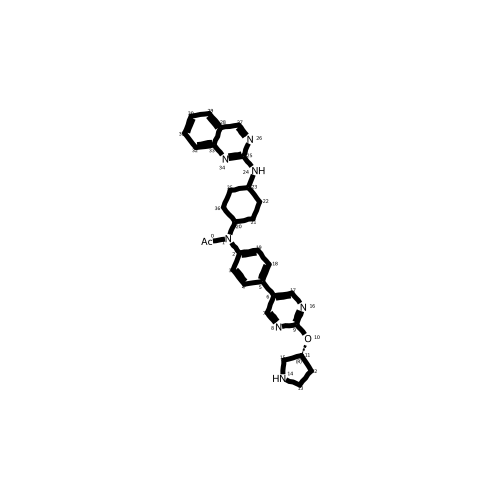 CC(=O)N(c1ccc(-c2cnc(O[C@@H]3CCNC3)nc2)cc1)C1CCC(Nc2ncc3ccccc3n2)CC1